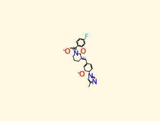 COC[C@@H](c1ccc(F)cc1)N1CCC/C(=C\C2=CC(OC)C(n3cnc(C)c3)C=C2)C1=O